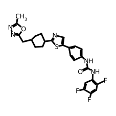 Cc1nnc(CC2CCC(c3ncc(-c4ccc(NC(=O)Nc5cc(F)c(F)cc5F)cc4)s3)CC2)o1